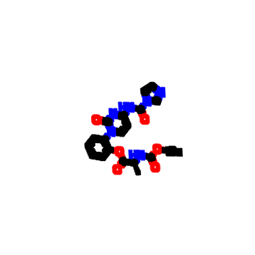 C[C@H](NC(=O)OC(C)(C)C)C(=O)Oc1ccccc1-n1ccc(NC(=O)n2ccnc2)nc1=O